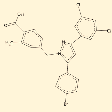 Cc1cc(Cn2nc(-c3cc(Cl)cc(Cl)c3)cc2-c2ccc(Br)cc2)ccc1C(=O)O